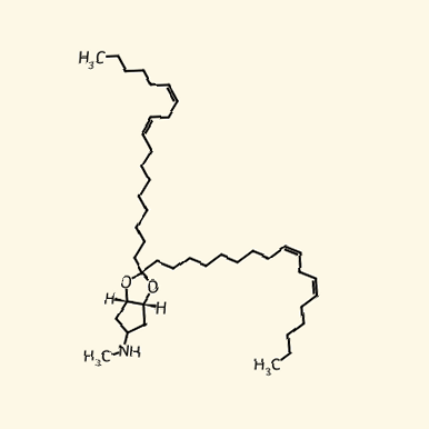 CCCCC/C=C\C/C=C\CCCCCCCCC1(CCCCCCCC/C=C\C/C=C\CCCCC)O[C@H]2CC(NC)C[C@H]2O1